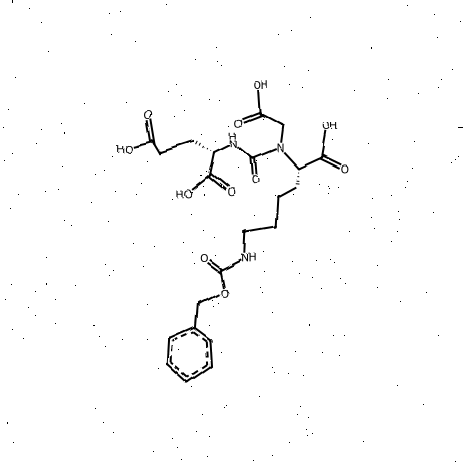 O=C(O)CC[C@H](NC(=O)N(CC(=O)O)[C@@H](CCCCNC(=O)OCc1ccccc1)C(=O)O)C(=O)O